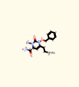 CCN1C(=O)N(OCc2ccccc2)C(CCNC(C)=O)=C[C@H]1C(N)=O